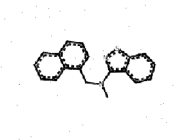 CN(Cc1cccc2ccccc12)c1nsc2ccccc12